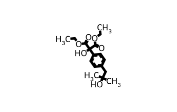 CCOC(=O)C(O)(C(=O)OCC)c1ccc(CC(C)(C)O)cc1